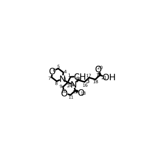 CCC1(N2CCOCC2)COCC(=O)N1CCCCC(=O)O